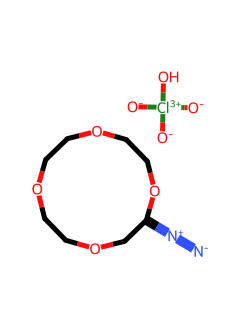 [N-]=[N+]=C1COCCOCCOCCO1.[O-][Cl+3]([O-])([O-])O